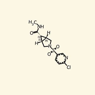 CNC(=O)[C@@H]1[C@@H]2CN(S(=O)(=O)c3ccc(Cl)nc3)C[C@@H]21